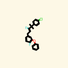 CC(C)(C(F)=CCc1ccc(F)c(Oc2ccccc2)c1)c1ccc(Cl)cc1